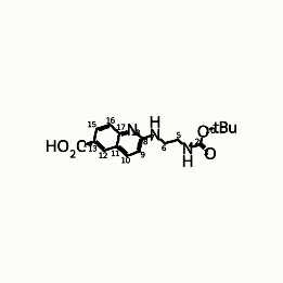 CC(C)(C)OC(=O)NCCNc1ccc2cc(C(=O)O)ccc2n1